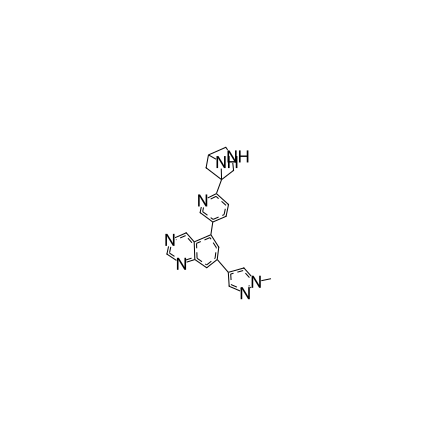 Cn1cc(-c2cc(-c3ccc(C45CNCC(C4)N5)nc3)c3cncnc3c2)cn1